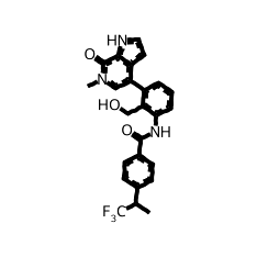 CC(c1ccc(C(=O)Nc2cccc(-c3cn(C)c(=O)c4[nH]ccc34)c2CO)cc1)C(F)(F)F